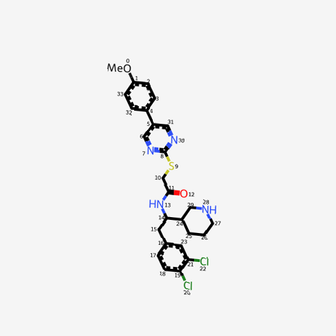 COc1ccc(-c2cnc(SCC(=O)NC(Cc3ccc(Cl)c(Cl)c3)C3CCCNC3)nc2)cc1